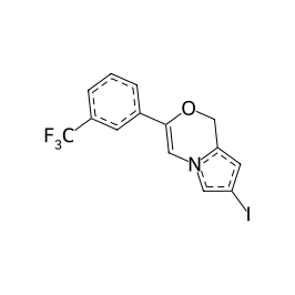 FC(F)(F)c1cccc(C2=Cn3cc(I)cc3CO2)c1